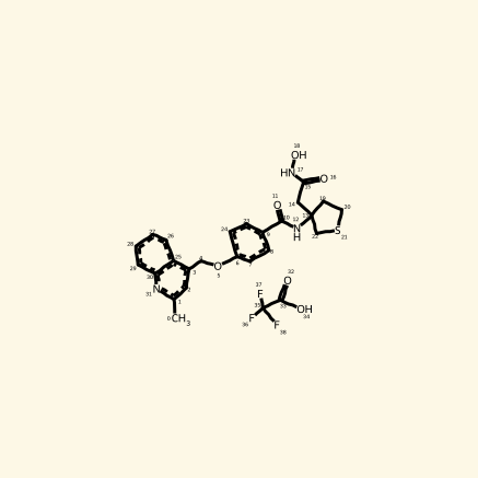 Cc1cc(COc2ccc(C(=O)NC3(CC(=O)NO)CCSC3)cc2)c2ccccc2n1.O=C(O)C(F)(F)F